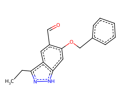 CCc1n[nH]c2cc(OCc3ccccc3)c(C=O)cc12